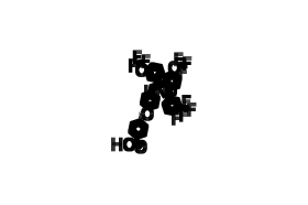 O=C(NC(Cc1ccc(OC[C@H]2CC[C@H](C(=O)O)CC2)cc1)(c1cccc(OC(F)(F)F)c1)c1cccc(OC(F)(F)F)c1)c1ccc(F)c(C(F)(F)F)c1